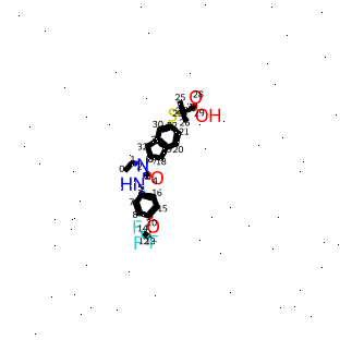 CCN(C(=O)Nc1ccc(OC(F)(F)F)cc1)[C@H]1Cc2ccc(SC(C)(C)C(=O)O)cc2C1